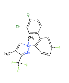 CC1=C[N+](C)(c2ccc(F)cc2-c2ccc(Cl)c(Cl)c2)N=C1C(F)(F)F